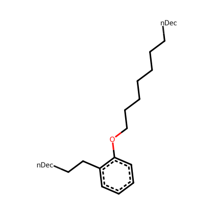 CCCCCCCCCCCCCCCCCOc1ccccc1CCCCCCCCCCCC